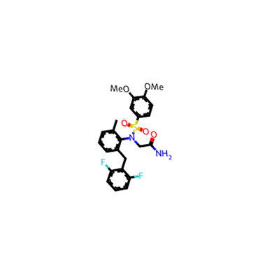 COc1ccc(S(=O)(=O)N(CC(N)=O)c2c(C)cccc2Cc2c(F)cccc2F)cc1OC